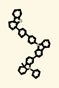 CC12C=CC=CC1N(c1ccccc1)c1cc(-c3ccc4c5ccccc5n(-c5ccc(-c6ccc(-c7cccc8c7oc7ccccc78)cc6)cc5)c4c3)ccc12